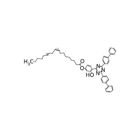 CCCCC/C=C/C/C=C\CCCCCCCC(=O)Oc1ccc(-c2nc(-c3ccc(-c4ccccc4)cc3)nc(-c3ccc(-c4ccccc4)cc3)n2)c(O)c1